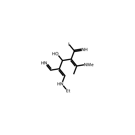 CCN/C=C(\C=N)C(O)/C(C(=N)I)=C(\C)NC